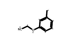 Cc1[c]ccc(OCC#N)c1